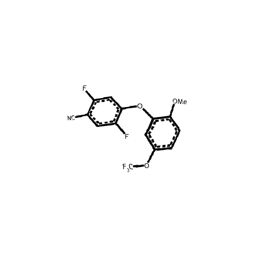 COc1ccc(OC(F)(F)F)cc1Oc1cc(F)c(C#N)cc1F